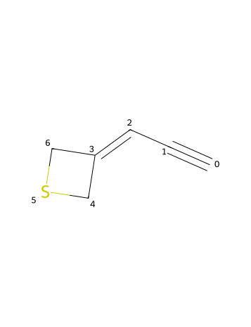 C#CC=C1CSC1